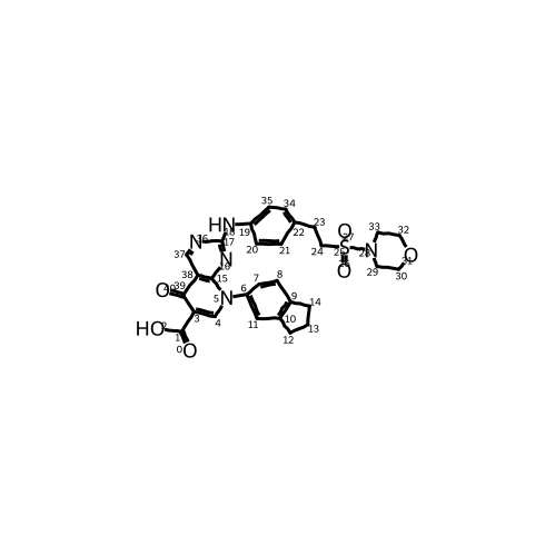 O=C(O)c1cn(-c2ccc3c(c2)CCC3)c2nc(Nc3ccc(CCS(=O)(=O)N4CCOCC4)cc3)ncc2c1=O